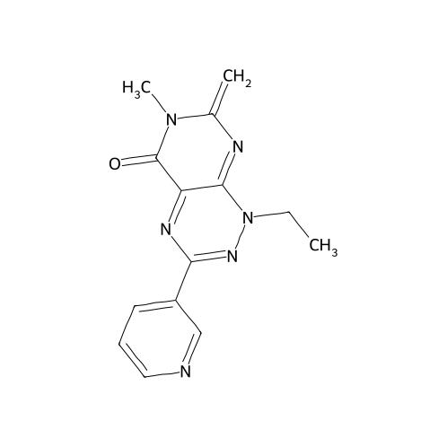 C=c1nc2c(c(=O)n1C)=NC(c1cccnc1)=NN2CC